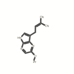 CC(C)Oc1cnc2[nH]cc(CC=C(C#N)C#N)c2n1